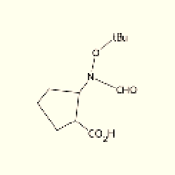 CC(C)(C)ON(C=O)C1CCCC1C(=O)O